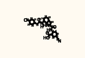 N#Cc1ccc(NC(=O)c2cc3cccc(NC(=O)Cc4ccc(Cl)cc4)c3[nH]2)c(C(=O)O)c1